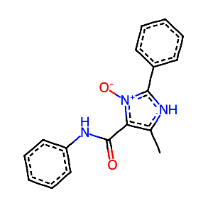 Cc1[nH]c(-c2ccccc2)[n+]([O-])c1C(=O)Nc1ccccc1